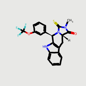 CN1C(=O)[C@@H]2Cc3c([nH]c4ccccc34)[C@@H](c3cccc(OC(F)(F)F)c3)N2C1=S